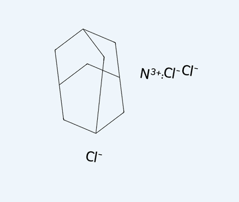 C1C2CC3CC1CC(C2)C3.[Cl-].[Cl-].[Cl-].[N+3]